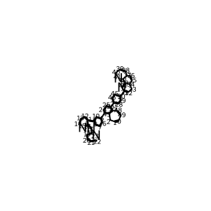 C1#CCc2c(-c3ccc4c(c3)c3cccnc3n4-c3ccccn3)ccc(-c3ccc(C4=CCC5C=CC6C=CC=NC6C5=N4)cc3)c2C=C1